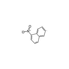 O=[N+]([O-])c1cccc2c[c]ccc12